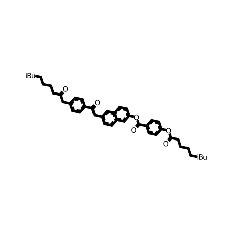 CCC(C)CCCCC(=O)Cc1ccc(C(=O)Cc2ccc3cc(OC(=O)c4ccc(OC(=O)CCCCC(C)CC)cc4)ccc3c2)cc1